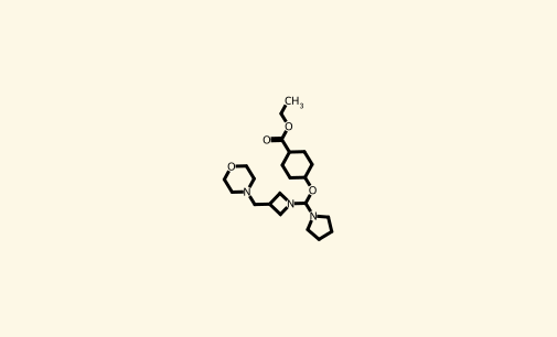 CCOC(=O)C1CCC(OC(N2CCCC2)N2CC(CN3CCOCC3)C2)CC1